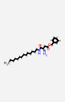 CCCCCCCCCCCCCCNC(=O)[C@@H](N)CC(=O)OCc1ccccc1